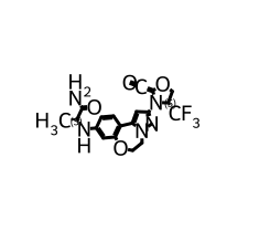 C[C@H](Nc1ccc2c(c1)OCCn1nc(N3C(=C=O)OC[C@H]3C(F)(F)F)cc1-2)C(N)=O